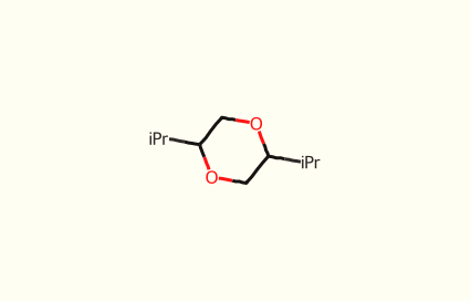 CC(C)C1COC(C(C)C)CO1